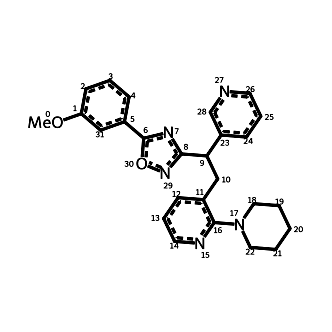 COc1cccc(-c2nc(C(Cc3cccnc3N3CCCCC3)c3cccnc3)no2)c1